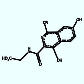 N#Cc1nc(C(=O)NCC(=O)O)c(O)c2ccc(O)cc12